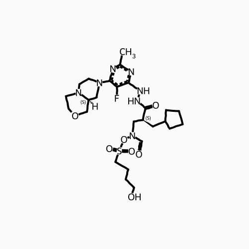 Cc1nc(NNC(=O)[C@@H](CC2CCCC2)CN(C=O)OS(=O)(=O)CCCCO)c(F)c(N2CCN3CCOC[C@@H]3C2)n1